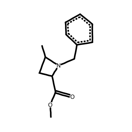 COC(=O)C1CC(C)N1Cc1ccccc1